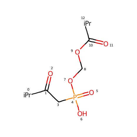 CC(C)C(=O)CP(=O)(O)OCOC(=O)C(C)C